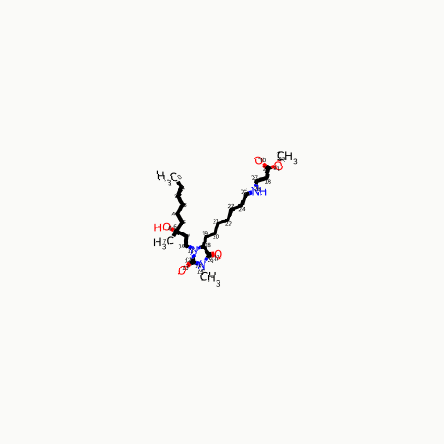 CCCCCCC(C)(O)CCN1C(=O)N(C)C(=O)C1CCCCCCCNCCC(=O)OC